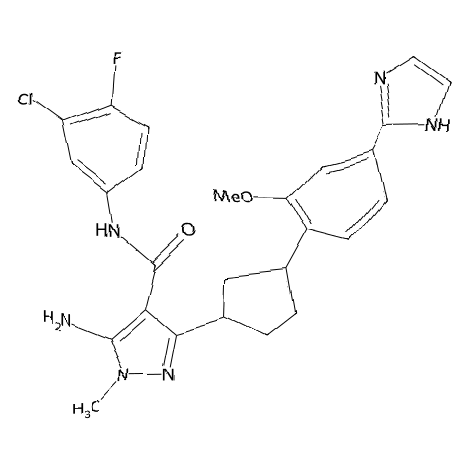 COc1cc(-c2ncc[nH]2)ccc1C1CCC(c2nn(C)c(N)c2C(=O)Nc2ccc(F)c(Cl)c2)C1